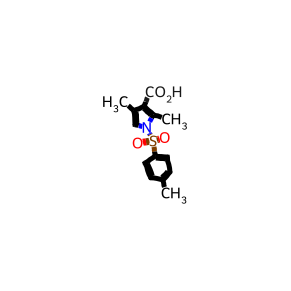 Cc1ccc(S(=O)(=O)n2cc(C)c(C(=O)O)c2C)cc1